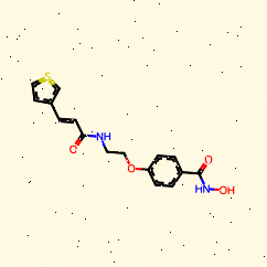 O=C(C=Cc1ccsc1)NCCOc1ccc(C(=O)NO)cc1